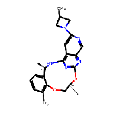 COC1CN(c2cc3c4nc(nc3cn2)O[C@H](C)COc2c(cccc2C(F)(F)F)[C@@H](C)N4)C1